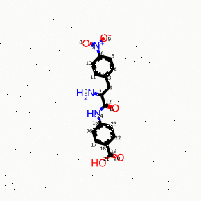 NC(Cc1ccc([N+](=O)[O-])cc1)C(=O)Nc1ccc(C(=O)O)cc1